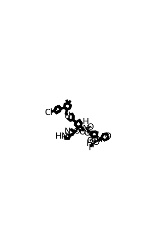 CN(c1ccc(S(=O)(=O)NC(=O)c2ccc(C3=CCN(CC4=C(c5ccc(Cl)cc5)CC(C)(C)CC4)CC3)cc2Oc2cnc3[nH]ccc3c2)cc1S(=O)(=O)C(F)(F)F)C1CCOCC1